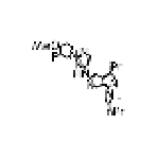 CCCC1CN(c2ncc(C(C)C)c3cc(Nc4ccnc(N5CC[C@H](OC)[C@H](F)C5)n4)ncc23)[C@@H]1C